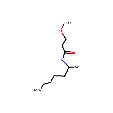 CNCCCCC(NC(=O)CCOC=O)C(C)=O